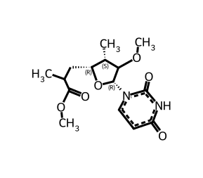 COC(=O)C(C)C[C@H]1O[C@@H](n2ccc(=O)[nH]c2=O)C(OC)[C@H]1C